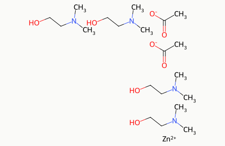 CC(=O)[O-].CC(=O)[O-].CN(C)CCO.CN(C)CCO.CN(C)CCO.CN(C)CCO.[Zn+2]